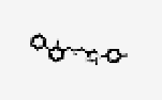 Cc1c(COCc2cn(-c3ccc(F)cc3)nn2)cccc1-c1ccccc1